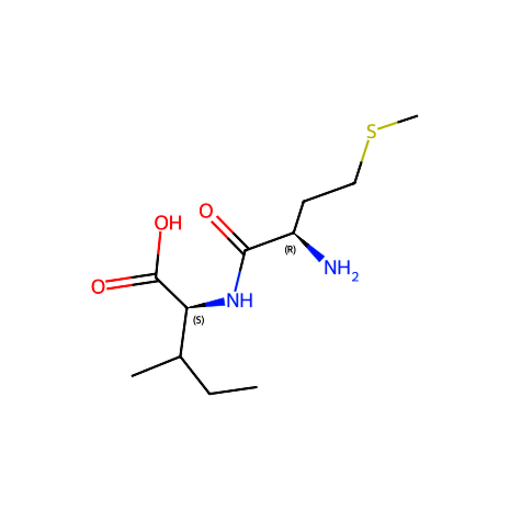 CCC(C)[C@H](NC(=O)[C@H](N)CCSC)C(=O)O